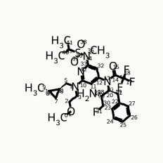 COCCN(C[C@H]1C[C@@H]1C)c1cc(N(C(=O)C(F)(F)F)[C@@H](Cc2ccccc2)[C@@H](N)CF)cc(N(C)S(=O)(=O)C(C)C)n1